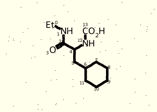 CCNC(=O)C(CC1CCCCC1)NC(=O)O